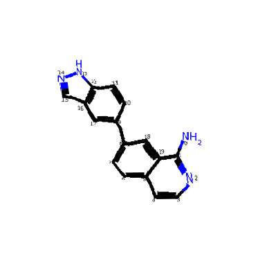 Nc1nccc2ccc(-c3ccc4[nH]ncc4c3)cc12